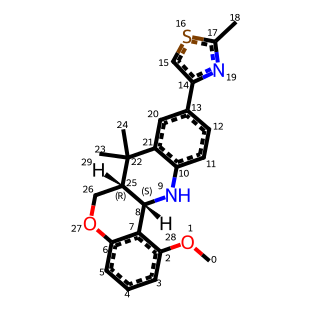 COc1cccc2c1[C@H]1Nc3ccc(-c4csc(C)n4)cc3C(C)(C)[C@H]1CO2